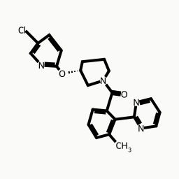 Cc1cccc(C(=O)N2CCC[C@@H](Oc3ccc(Cl)cn3)C2)c1-c1ncccn1